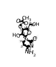 CS(=O)(=O)OC1C(O)[C@H](n2ccc(N)nc2=O)O[C@@H]1CO